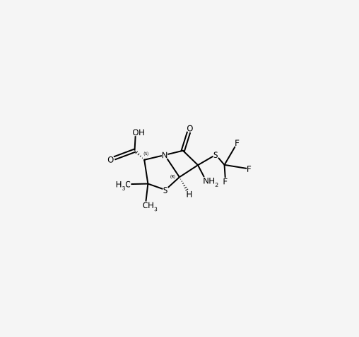 CC1(C)S[C@H]2N(C(=O)C2(N)SC(F)(F)F)[C@H]1C(=O)O